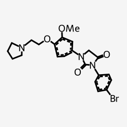 COc1cc(N2CC(=O)N(c3ccc(Br)cc3)C2=O)ccc1OCCN1CCCC1